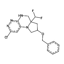 FC(F)C12CNc3nnc(Cl)cc3N1CC(OCc1ccccc1)C2